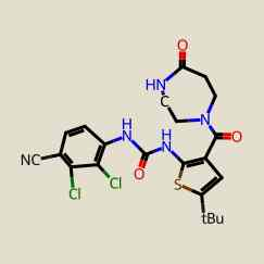 CC(C)(C)c1cc(C(=O)N2CCNC(=O)CC2)c(NC(=O)Nc2ccc(C#N)c(Cl)c2Cl)s1